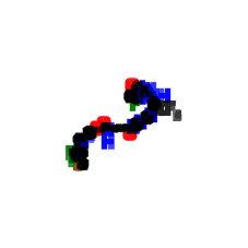 CN1C(=O)c2cccc(F)c2N(C)c2nc(Nc3ccc(CN4CCC(N5CCN(C(=O)CCCCCNC(=O)COc6ccc(C7=[N+](C)/C(=C\c8ccc(-c9cccs9)n8B(F)F)C=C7)cc6)CC5)CC4)c(C(F)(F)F)c3)ncc21